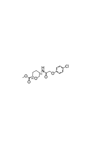 COC(=O)[C@H]1CC[C@H](NC(=O)COc2ccc(Cl)cc2)CO1